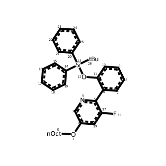 CCCCCCCCOc1cnc(-c2ccccc2O[Si](c2ccccc2)(c2ccccc2)C(C)(C)C)c(F)c1